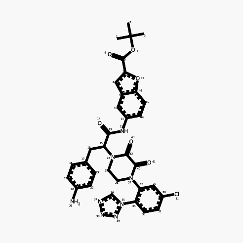 CC(C)(C)OC(=O)c1cc2cc(NC(=O)C(Cc3ccc(N)cc3)N3CCN(c4cc(Cl)ccc4-n4cnnn4)C(=O)C3=O)ccc2o1